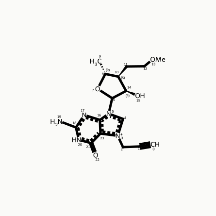 C#CC[n+]1cn(C2O[C@H](C)[C@@H](CCOC)[C@H]2O)c2nc(N)[nH]c(=O)c21